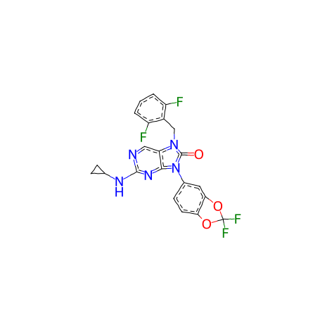 O=c1n(Cc2c(F)cccc2F)c2cnc(NC3CC3)nc2n1-c1ccc2c(c1)OC(F)(F)O2